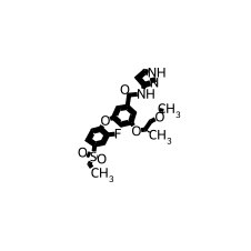 CCS(=O)(=O)c1ccc(Oc2cc(O[C@@H](C)COC)cc(C(=O)Nc3cc[nH]n3)c2)c(F)c1